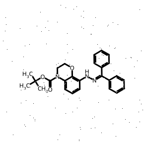 CC(C)(C)OC(=O)N1CCOc2c(NN=C(c3ccccc3)c3ccccc3)cccc21